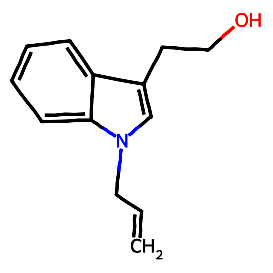 C=CCn1cc(CCO)c2ccccc21